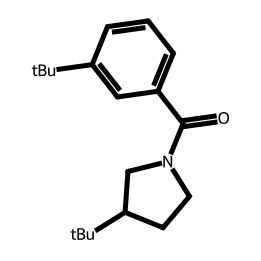 CC(C)(C)c1cccc(C(=O)N2CCC(C(C)(C)C)C2)c1